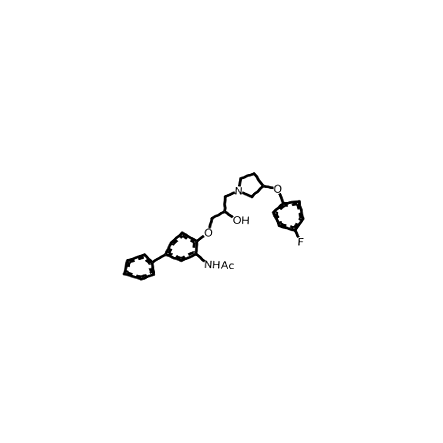 CC(=O)Nc1cc(-c2ccccc2)ccc1OCC(O)CN1CCC(Oc2ccc(F)cc2)C1